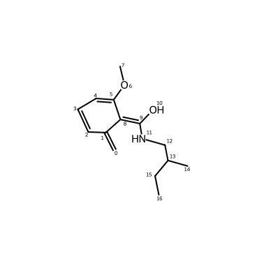 C=c1cccc(OC)/c1=C(\O)NCC(C)CC